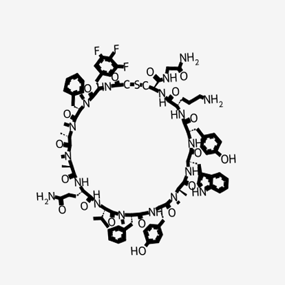 CC(C)[C@@H]1NC(=O)[C@H](CCC(N)=O)NC(=O)[C@@H](C)N(C)C(=O)[C@H](C)N(C)C(=O)[C@H](Cc2ccccc2)N(C)C(=O)[C@H](Cc2cc(F)c(F)c(F)c2)NC(=O)CSC[C@@H](C(=O)NCC(N)=O)NC(=O)[C@H](CCCN)NC(=O)[C@H](Cc2ccc(O)cc2)NC(=O)[C@H](Cc2c[nH]c3ccccc23)NC(=O)[C@@H](C)N(C)C(=O)[C@H](Cc2ccc(O)cc2)NC(=O)[C@H](Cc2ccccc2)N(C)C1=O